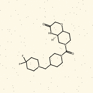 O=C1COC2CCN(C(=O)N3CCC(CN4CCC(F)(F)CC4)CC3)C[C@H]2N1